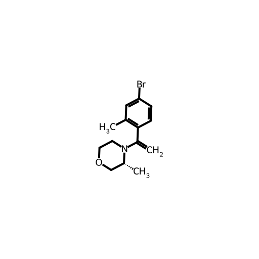 C=C(c1ccc(Br)cc1C)N1CCOC[C@H]1C